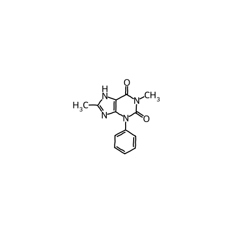 Cc1nc2c([nH]1)c(=O)n(C)c(=O)n2-c1ccccc1